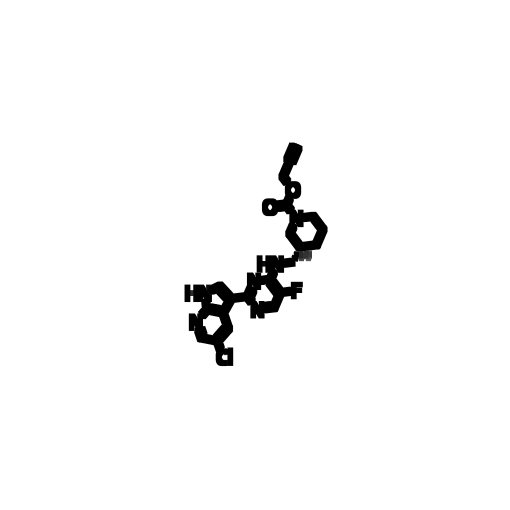 C#CCOC(=O)N1CCC[C@H](CNc2nc(-c3c[nH]c4ncc(Cl)cc34)ncc2F)C1